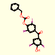 O=C(OCc1ccccc1)Oc1c(I)cc(C(=O)c2cc(I)c(O)c(I)c2)cc1I